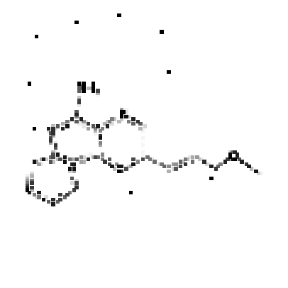 COC/C=C/c1cnc2c(N)nc3ccccc3c2c1